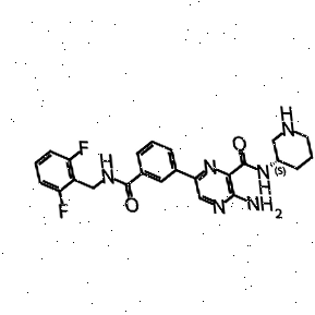 Nc1ncc(-c2cccc(C(=O)NCc3c(F)cccc3F)c2)nc1C(=O)N[C@H]1CCCNC1